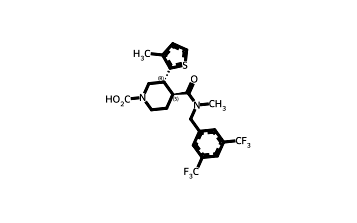 Cc1ccsc1[C@H]1CN(C(=O)O)CC[C@@H]1C(=O)N(C)Cc1cc(C(F)(F)F)cc(C(F)(F)F)c1